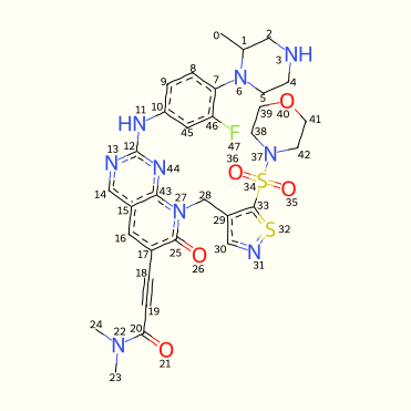 CC1CNCCN1c1ccc(Nc2ncc3cc(C#CC(=O)N(C)C)c(=O)n(Cc4cnsc4S(=O)(=O)N4CCOCC4)c3n2)cc1F